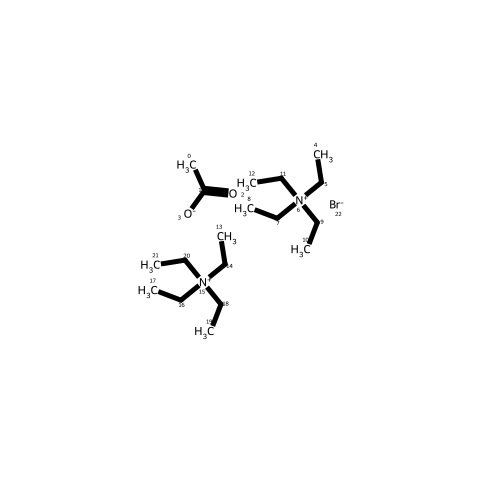 CC(=O)[O-].CC[N+](CC)(CC)CC.CC[N+](CC)(CC)CC.[Br-]